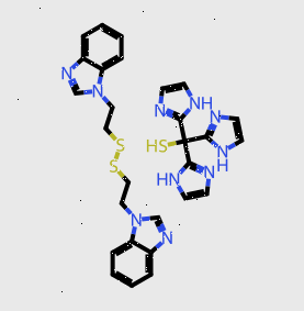 SC(c1ncc[nH]1)(c1ncc[nH]1)c1ncc[nH]1.c1ccc2c(c1)ncn2CCSSCCn1cnc2ccccc21